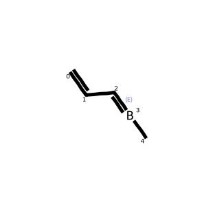 C=C/C=B/C